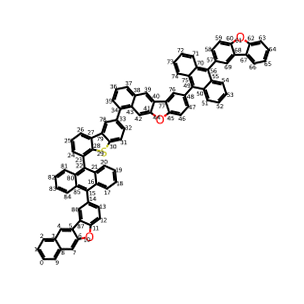 c1ccc2cc3c(cc2c1)oc1ccc(-c2c4ccccc4c(-c4cccc5c4sc4ccc(-c6cccc7cc8c(cc67)oc6ccc(-c7c9ccccc9c(-c9ccc%10oc%11ccccc%11c%10c9)c9ccccc79)cc68)cc45)c4ccccc24)cc13